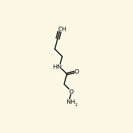 C#CCCNC(=O)CON